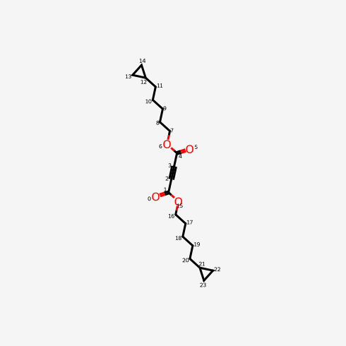 O=C(C#CC(=O)OCCCCCC1CC1)OCCCCCC1CC1